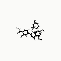 COC(=O)c1cc(Cl)c(-c2cc(=O)c3c(OC)cc(OC)c([C@H]4CCN(C)C[C@H]4O)c3o2)cc1Cl